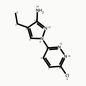 CCc1cn(-c2ccc(Cl)nn2)nc1N